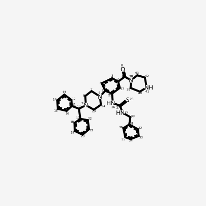 O=C(c1ccc(N2CCN(C(c3ccccc3)c3ccccc3)CC2)c(NC(=S)NCc2ccccc2)c1)N1CCNCC1